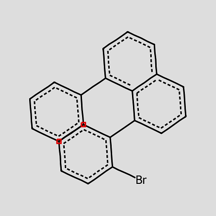 Brc1ccccc1-c1cccc2cccc(-c3ccccc3)c12